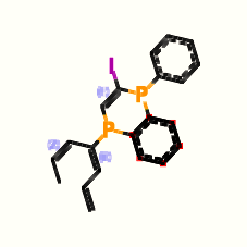 C=C/C=C(\C=C/C)P(/C=C(/I)P(c1ccccc1)c1ccccc1)c1ccccc1